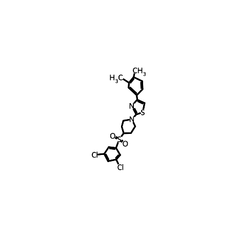 Cc1ccc(-c2csc(N3CCC(S(=O)(=O)c4cc(Cl)cc(Cl)c4)CC3)n2)cc1C